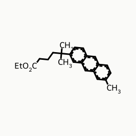 CCOC(=O)CCCC(C)(C)c1ccc2cc3ccc(C)cc3cc2c1